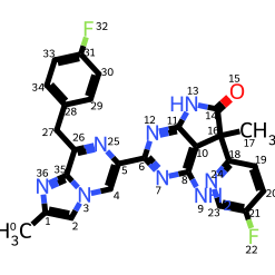 Cc1cn2cc(-c3nc(N)c4c(n3)NC(=O)C4(C)c3ccc(F)cn3)nc(Cc3ccc(F)cc3)c2n1